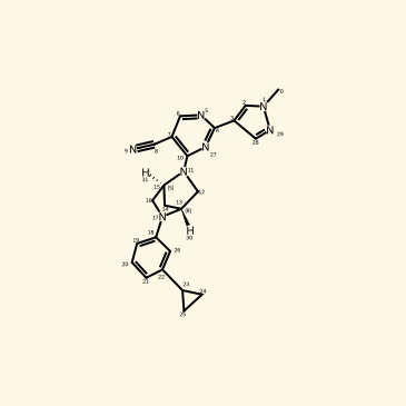 Cn1cc(-c2ncc(C#N)c(N3C[C@H]4C[C@H]3CN4c3cccc(C4CC4)c3)n2)cn1